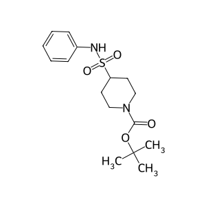 CC(C)(C)OC(=O)N1CCC(S(=O)(=O)Nc2ccccc2)CC1